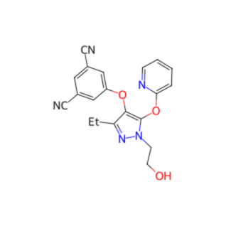 CCc1nn(CCO)c(Oc2ccccn2)c1Oc1cc(C#N)cc(C#N)c1